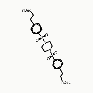 CCCCCCCCCCCCc1ccc(S(=O)(=O)N2CCN(S(=O)(=O)c3ccc(CCCCCCCCCCCC)cc3)CC2)cc1